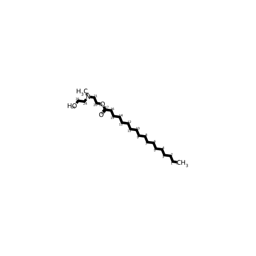 CCCCCCCCCCCCCCCCCC(=O)OCCN(C)CCO